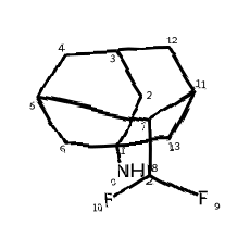 NC12CC3CC(C1)C(C(F)F)C(C3)C2